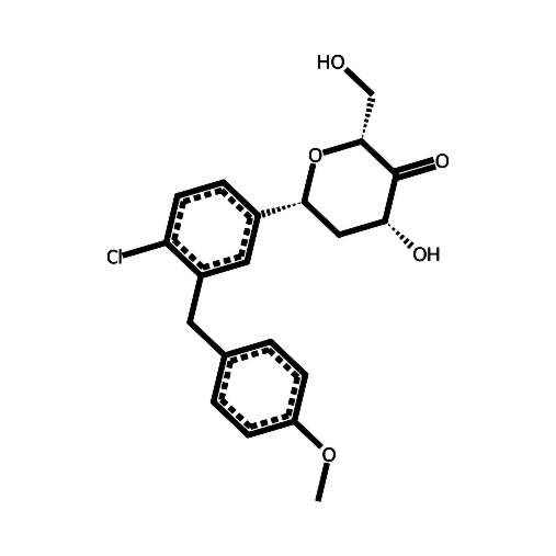 COc1ccc(Cc2cc([C@H]3C[C@@H](O)C(=O)[C@@H](CO)O3)ccc2Cl)cc1